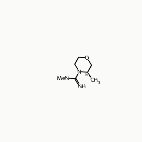 CNC(=N)N1CCOC[C@H]1C